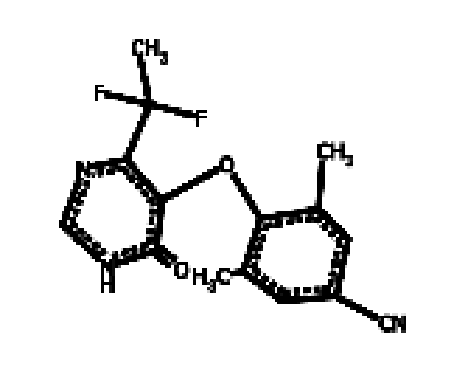 Cc1cc(C#N)cc(C)c1Oc1c(C(C)(F)F)nc[nH]c1=O